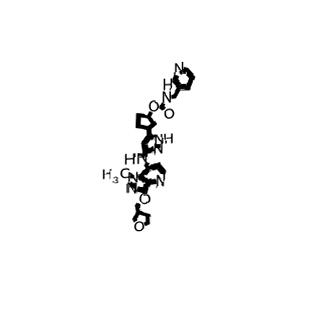 Cn1nc(OCC2CCOC2)c2nccc(Nc3cc(C4CCC(OC(=O)NCc5cccnc5)C4)[nH]n3)c21